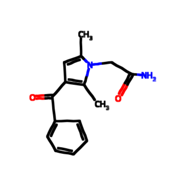 Cc1cc(C(=O)c2ccccc2)c(C)n1CC(N)=O